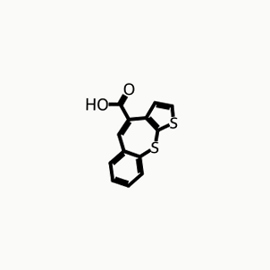 O=C(O)C1=Cc2ccccc2Sc2sccc21